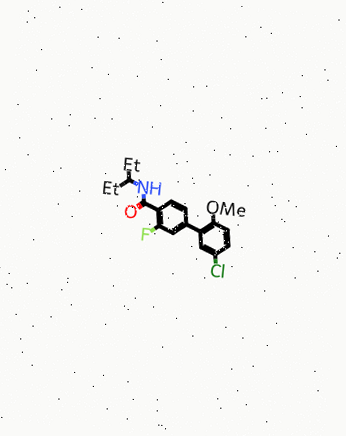 CCC(CC)NC(=O)c1ccc(-c2cc(Cl)ccc2OC)cc1F